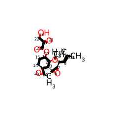 CO[C@H]1[C@H](C2(C)O[C@@H]2CC=C(C)C)[C@]2(CC[C@H]1OC(=O)C(=O)CO)CO2